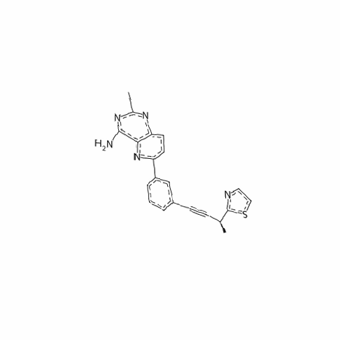 Cc1nc(N)c2nc(-c3cccc(C#C[C@H](C)c4nccs4)c3)ccc2n1